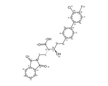 O=C(O)[C@@H](CCN1C(=O)c2ccccc2C1=O)[C@H](O)CCc1ccc(-c2ccc(F)c(Cl)c2)cc1